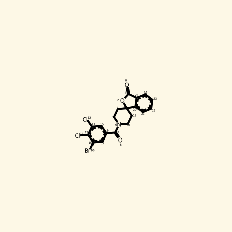 O=C1OC2(CCN(C(=O)c3cc(Cl)c(Cl)c(Br)c3)CC2)c2ccccc21